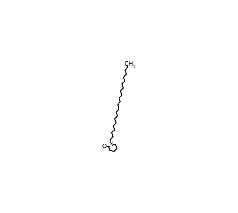 CCCCCCCCCCCCCCCCCCCCCCCN1CCCCC1=O